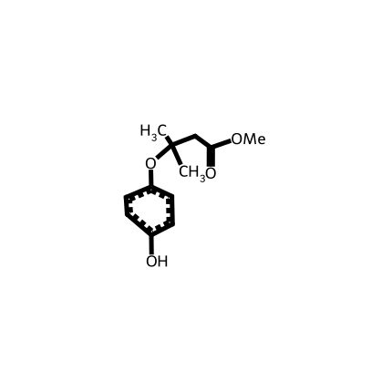 COC(=O)CC(C)(C)Oc1ccc(O)cc1